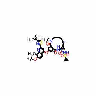 COc1ccc2c(OC3CC4C(=O)N(C)CCCC/C=C\C5C[C@@]5(C(=O)NS(=O)(=O)C5CC5)NC(=O)[C@@H]4C3)cc(-c3nc(C(C)C)cs3)nc2c1C